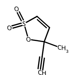 C#CC1(C)C=CS(=O)(=O)O1